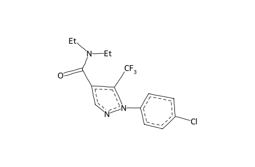 CCN(CC)C(=O)c1cnn(-c2ccc(Cl)cc2)c1C(F)(F)F